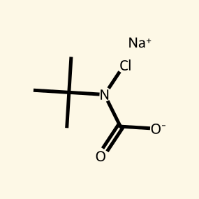 CC(C)(C)N(Cl)C(=O)[O-].[Na+]